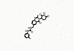 CC1=NC2C=CC(CNC(=O)Nc3cccc(C)c3)=CC2C(=O)N1C1CCC(=O)NC1=O